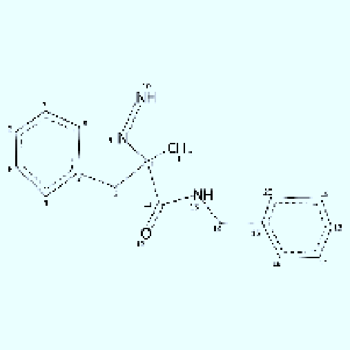 CC(Cc1ccccc1)(N=N)C(=O)NCc1ccccc1